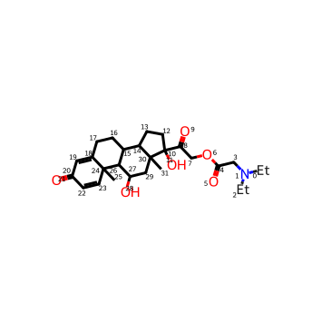 CCN(CC)CC(=O)OCC(=O)C1(O)CCC2C3CCC4=CC(=O)C=CC4(C)C3C(O)CC21C